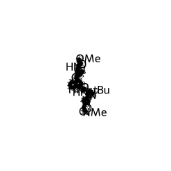 CNS(=O)(=O)Cc1ccc(-n2nc(C(C)(C)C)cc2NC(=O)Nc2ccc(Oc3ccnc(NC(=O)COC)c3)c3ccccc23)cc1